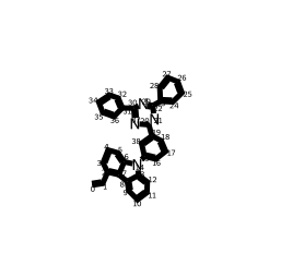 C=Cc1cccc2c1c1ccccc1n2-c1cccc(-c2nc(-c3ccccc3)nc(-c3ccccc3)n2)c1